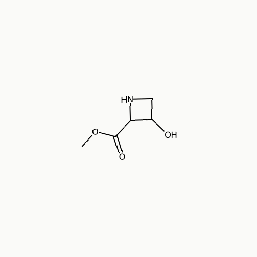 COC(=O)C1NCC1O